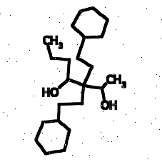 CCCC(O)C(CCC1CCCCC1)(CCC1CCCCC1)C(C)O